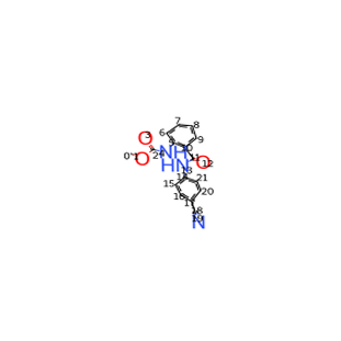 COC(=O)Nc1ccccc1C(=O)Nc1ccc(C#N)cc1